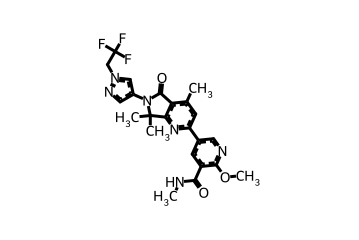 CNC(=O)c1cc(-c2cc(C)c3c(n2)C(C)(C)N(c2cnn(CC(F)(F)F)c2)C3=O)cnc1OC